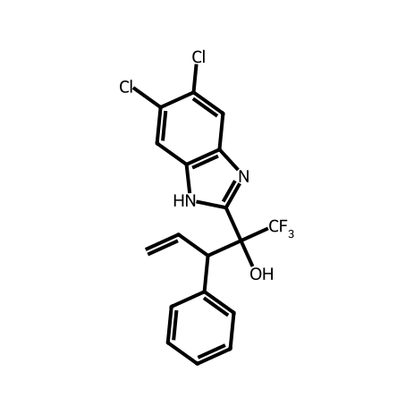 C=CC(c1ccccc1)C(O)(c1nc2cc(Cl)c(Cl)cc2[nH]1)C(F)(F)F